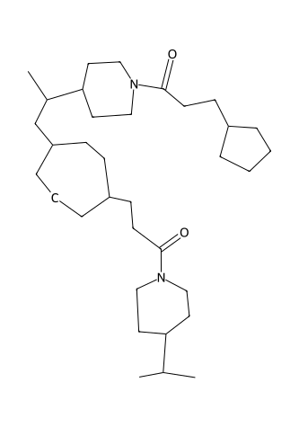 CC(C)C1CCN(C(=O)CCC2CCCC(CC(C)C3CCN(C(=O)CCC4CCCC4)CC3)CC2)CC1